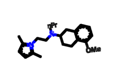 CCCN(CCn1c(C)ccc1C)C1CCc2c(cccc2OC)C1